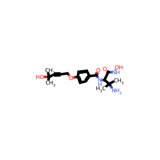 CC(C)(O)C#CCOc1ccc(C(=O)NC(C(=O)NO)C(C)(C)N)cc1